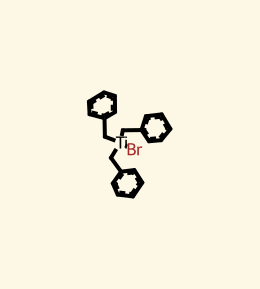 [Br][Ti]([CH2]c1ccccc1)([CH2]c1ccccc1)[CH2]c1ccccc1